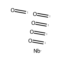 [C]=O.[C]=O.[C]=O.[C]=O.[C]=O.[Nb]